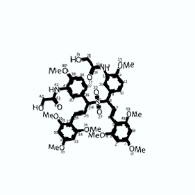 COc1cc(OC)c(C=CC(c2ccc(OC)c(NC(=O)CO)c2)S(=O)(=O)C(C=Cc2c(OC)cc(OC)cc2OC)c2ccc(OC)c(NC(=O)CO)c2)c(OC)c1